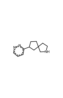 c1cnnc(C2CCC3(CCNC3)C2)c1